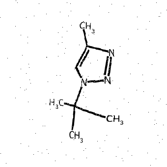 Cc1cn(C(C)(C)C)nn1